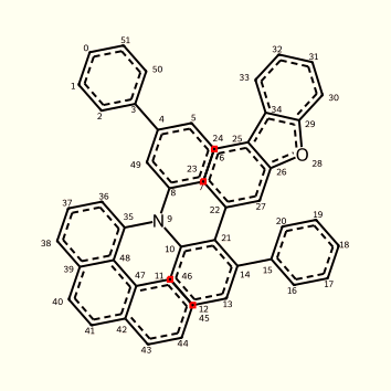 c1ccc(-c2cccc(N(c3cccc(-c4ccccc4)c3-c3ccc4c(c3)oc3ccccc34)c3cccc4ccc5ccccc5c34)c2)cc1